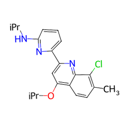 Cc1ccc2c(OC(C)C)cc(-c3cccc(NC(C)C)n3)nc2c1Cl